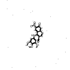 COc1cc(Nc2c(C#N)cnc3cc(Cl)c([N+](=O)[O-])cc23)cc(OC)c1OC